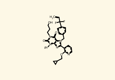 C=CC(F)(F)c1ccc(Cn2c(-c3cccnc3OCC3CC3)nc3c2c(=O)n(CCCO)c(=O)n3C(C)C)cc1